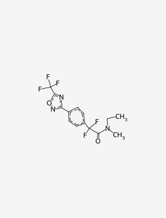 CCN(C)C(=O)C(F)(F)c1ccc(-c2noc(C(F)(F)F)n2)cc1